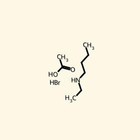 Br.CC(=O)O.CCCCNCC